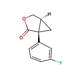 O=C1OC[C@H]2C[C@]12c1cccc(F)c1